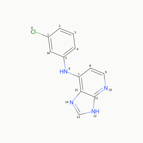 Clc1cccc(Nc2ccnc3[nH]cnc23)c1